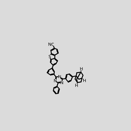 N#Cc1ccc2c(c1)sc1cc(-c3cccc(-c4nc(-c5ccccc5)nc(-c5ccc(C67C[C@H]8C[C@@H](C6)C[C@@H](C7)C8)cc5)n4)c3)ccc12